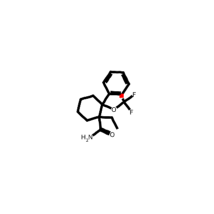 CCC1(C(N)=O)CCCCC1(OC(F)(F)F)c1ccccc1